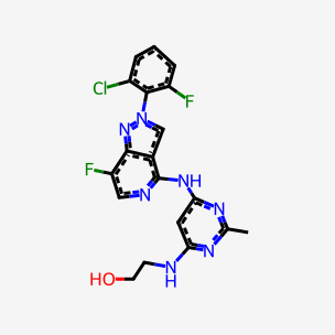 Cc1nc(NCCO)cc(Nc2ncc(F)c3nn(-c4c(F)cccc4Cl)cc23)n1